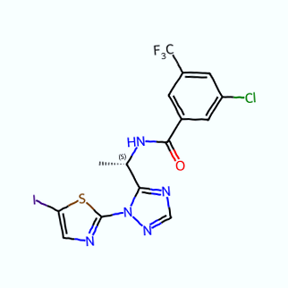 C[C@H](NC(=O)c1cc(Cl)cc(C(F)(F)F)c1)c1ncnn1-c1ncc(I)s1